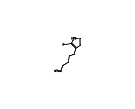 CCCCCCCCCCc1cc[nH]c1[P]